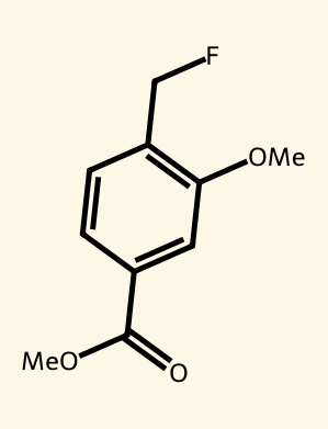 COC(=O)c1ccc(CF)c(OC)c1